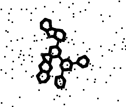 c1ccc(-c2nc(-c3ccccc3)nc(-c3cc(-c4cccc5c4oc4ccccc45)cc4oc5cc6cnccc6cc5c34)n2)cc1